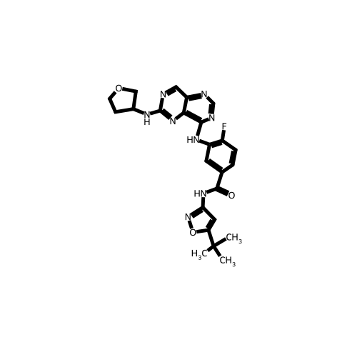 CC(C)(C)c1cc(NC(=O)c2ccc(F)c(Nc3ncnc4cnc(NC5CCOC5)nc34)c2)no1